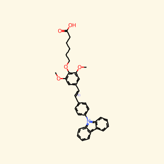 COc1cc(/C=C/c2ccc(-n3c4ccccc4c4ccccc43)cc2)cc(OC)c1OCCCCCC(=O)O